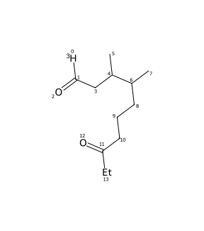 [3H]C(=O)CC(C)C(C)CCCC(=O)CC